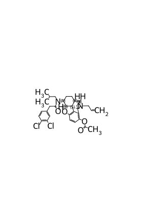 C=CCN1CC[C@@]23c4c5ccc(OC(C)=O)c4C[C@@H]1[C@@H]2CC[C@@H](N(CC(C)C)C(=O)Cc1ccc(Cl)c(Cl)c1)[C@@H]3O5